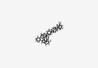 Cc1ccc2cc(-c3ccccc3)c(C(=O)C(=O)Nc3ccc(N4CCN(c5cccc(C)n5)CC4)cc3)n2c1